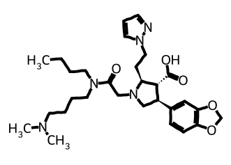 CCCCN(CCCCN(C)C)C(=O)CN1C[C@H](c2ccc3c(c2)OCO3)[C@@H](C(=O)O)[C@@H]1CCn1cccn1